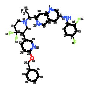 Fc1ccc(Nc2cnc3cc(C(N4CCC(F)(F)C(c5ccc(OCc6ccccc6)nc5)C4)C(F)(F)F)ncc3c2)c(F)c1